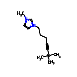 Cn1cc[n+](CCCC#C[Si](C)(C)C)c1